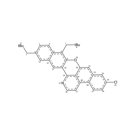 CC(C)(C)Cc1ccc2c(CC(C)(C)C)c3c(cc2c1)-c1nccc2c1c(cc1cc(Cl)ccc12)O3